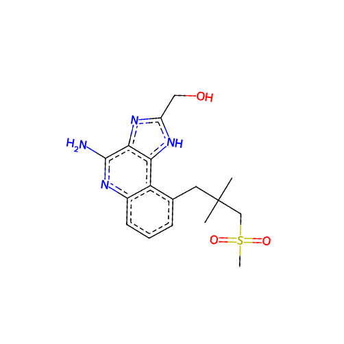 CC(C)(Cc1cccc2nc(N)c3nc(CO)[nH]c3c12)CS(C)(=O)=O